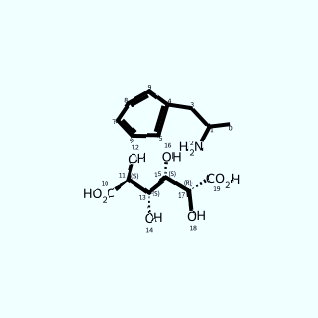 CC(N)Cc1ccccc1.O=C(O)[C@@H](O)[C@@H](O)[C@H](O)[C@@H](O)C(=O)O